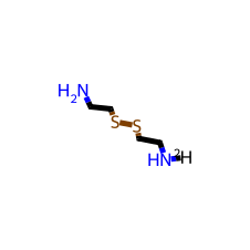 [2H]NCCSSCCN